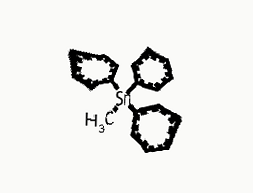 [CH3][Sn]([c]1ccccc1)([c]1ccccc1)[c]1ccccc1